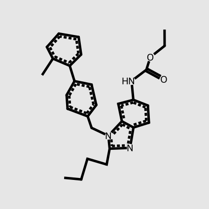 CCCCc1nc2ccc(NC(=O)OCC)cc2n1Cc1ccc(-c2ccccc2C)cc1